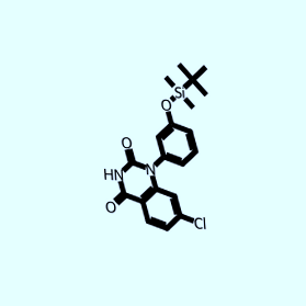 CC(C)(C)[Si](C)(C)Oc1cccc(-n2c(=O)[nH]c(=O)c3ccc(Cl)cc32)c1